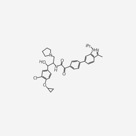 Cc1nn(C(C)C)c2cc(-c3ccc(C(=O)C(=O)NC(CN4CCCC4)C(O)c4ccc(OC5CC5)c(Cl)c4)cc3)ccc12